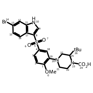 COc1ccc(S(=O)(=O)c2c[nH]c3cc(Br)ccc23)cc1N1CCN(C(=O)O)C(C(C)(C)C)C1